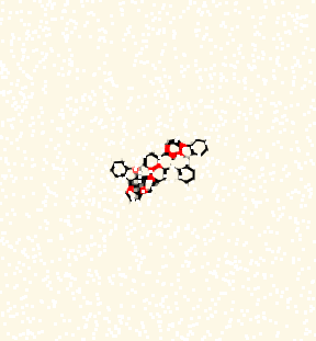 C1=Cc2c(c3ccccc3n2-c2ccccc2N(c2ccc(-c3cccc4c3oc3ccccc34)cc2)c2ccccc2-c2ccc3oc4c5ccccc5ccc4c3c2)CC1